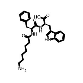 NCCCCCCC(=O)N[C@@H](Cc1ccccc1)C(=O)N[C@H](Cc1c[nH]c2ccccc12)C(=O)O